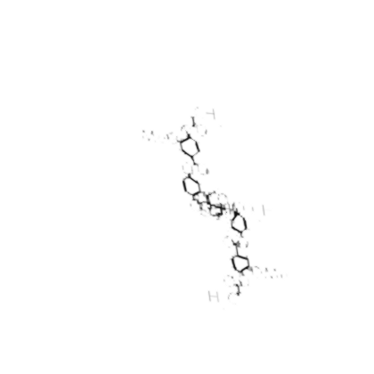 C=CC(=O)Oc1ccc(C(=O)Oc2ccc(C(=O)O)c([C@@H]3CO[C@H]4[C@@H]3OC[C@H]4c3cc(OC(=O)c4ccc(OC(=O)C=C)c(OC)c4)ccc3C(=O)O)c2)cc1OC